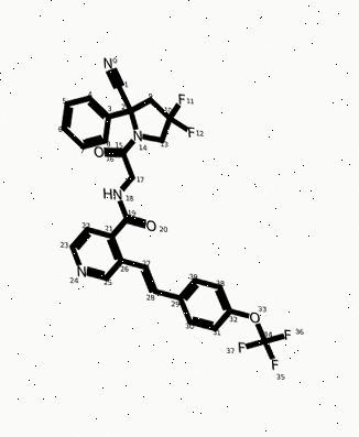 N#CC1(c2ccccc2)CC(F)(F)CN1C(=O)CNC(=O)c1ccncc1C=Cc1ccc(OC(F)(F)F)cc1